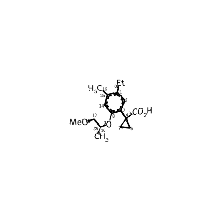 CCc1cc(C2(C(=O)O)CC2)c(O[C@@H](C)COC)cc1C